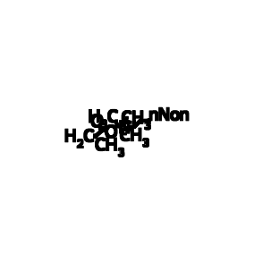 C=C(C)C(=O)OC(C)[N+](C)(C)CCCCCCCCCCCC